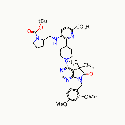 COc1ccc(CN2C(=O)C(C)(C)c3c(N4CCC(c5nc(C(=O)O)ccc5NCC5CCCN5C(=O)OC(C)(C)C)CC4)ncnc32)c(OC)c1